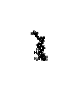 CCNC(=O)CCSc1nc(C)cc(Cc2cccc3c2CCCC(C(N)OCC2(C)NC(C)(C)CC2C(N)=O)N3)n1